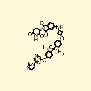 CC(C)(c1ccc(Oc2cncc(-n3ccnn3)n2)cc1)c1ccc(O[C@H]2C[C@H](Nc3ccc4c(c3)C(=O)N(C3CCC(=O)NC3=O)C4=O)C2)cc1